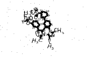 Cc1cn(-c2ccc(-c3cccc(S(C)(=O)=O)c3)cc2-c2nc(C)oc2-c2ccc3c(c2)OC(F)(F)O3)c(C)n1